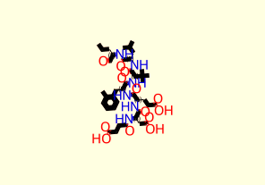 CCC[C@@H](C=O)NC(=O)[C@H](CC(C)C)NC(=O)[C@@H](NC(=O)[C@H](Cc1ccccc1C)NC(=O)[C@H](CCC(=O)O)NC(=O)[C@H](CC(=O)O)NC(=O)CCC(=O)O)C(C)(C)C